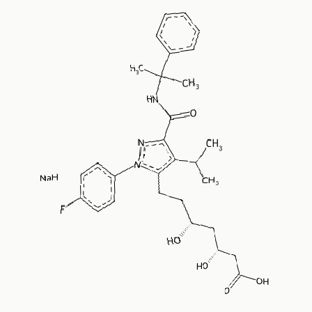 CC(C)c1c(C(=O)NC(C)(C)c2ccccc2)nn(-c2ccc(F)cc2)c1CC[C@@H](O)C[C@@H](O)CC(=O)O.[NaH]